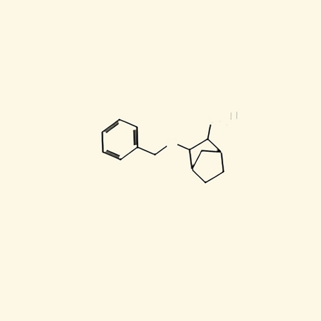 O=C(O)C1C2CCC(C2)C1OCc1ccccc1